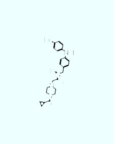 CC(C)(C)c1ccc(Nc2ccc(CN(O)C(=O)CN3CCN(C(=O)C4CC4)CC3)cc2)cc1